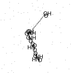 CCC(=O)NCCNC(=O)COCCOCCNC(=O)COCCOCCNC(=O)CC[C@H](NC(=O)CCCCCCCCCCCCCCCCCCCCC(=O)O)C(=O)O